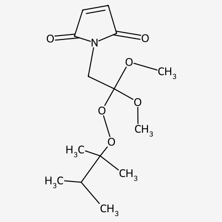 COC(CN1C(=O)C=CC1=O)(OC)OOC(C)(C)C(C)C